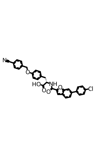 N#Cc1ccc(COc2ccc(C[C@H](NC(=O)c3cc4ccc(-c5ccc(Cl)cc5)cc4o3)C(=O)O)cc2)cc1